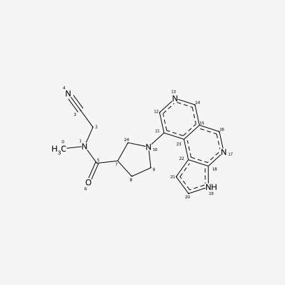 CN(CC#N)C(=O)C1CCN(c2cncc3cnc4[nH]ccc4c23)C1